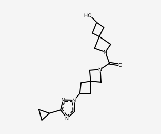 O=C(N1CC2(CC(O)C2)C1)N1CC2(CC(n3cnc(C4CC4)n3)C2)C1